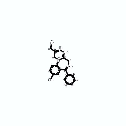 Clc1ccc2c(c1)C(c1ccccc1)=NCC1=NN=C(CBr)CN12